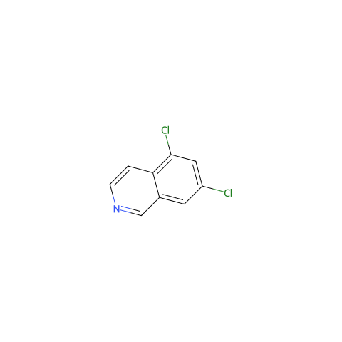 Clc1cc(Cl)c2ccncc2c1